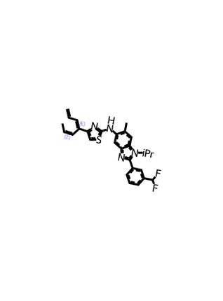 C=C/C=C(\C=C/C)c1csc(Nc2cc3nc(-c4cccc(C(F)F)c4)n(C(C)C)c3cc2C)n1